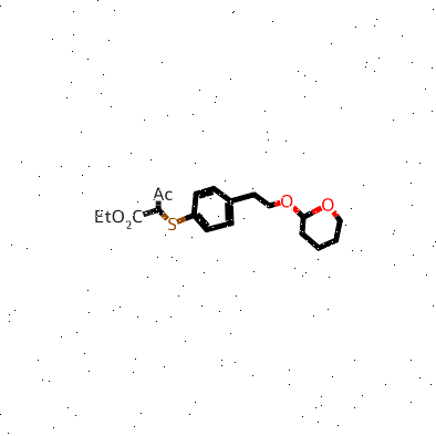 CCOC(=O)C(Sc1ccc(CCOC2CCCCO2)cc1)C(C)=O